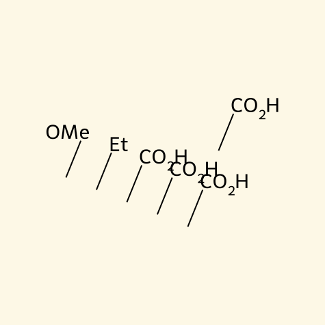 CC(=O)O.CC(=O)O.CC(=O)O.CC(=O)O.CCC.COC